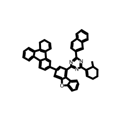 CC1CCCC=C1c1nc(-c2ccc3ccccc3c2)nc(-c2cc(-c3ccc4c(c3)c3c(c5ccccc54)CCC=C3)cc3oc4ccccc4c23)n1